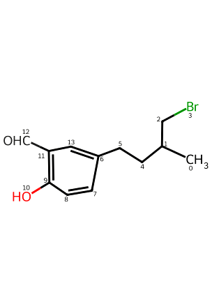 CC(CBr)CCc1ccc(O)c(C=O)c1